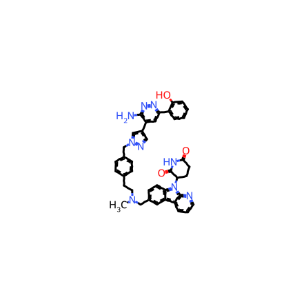 CN(CCc1ccc(Cn2cc(-c3cc(-c4ccccc4O)nnc3N)cn2)cc1)Cc1ccc2c(c1)c1cccnc1n2C1CCC(=O)NC1=O